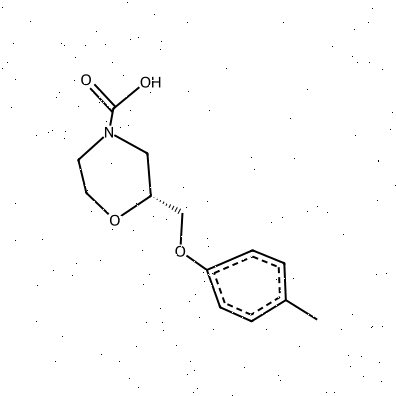 Cc1ccc(OC[C@H]2CN(C(=O)O)CCO2)cc1